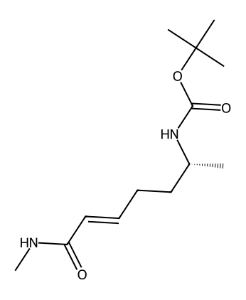 CNC(=O)/C=C/CC[C@@H](C)NC(=O)OC(C)(C)C